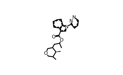 CC(CC1COCC(C)[C@@H]1C)OC(=O)c1cn(-c2cccnn2)c2ccccc12